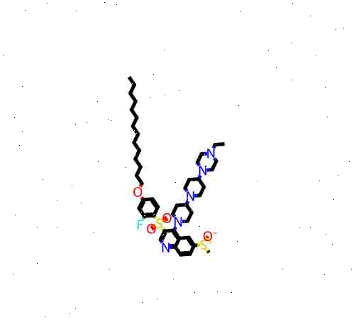 CCCCCCCCCCCCCCOc1ccc(S(=O)(=O)c2cnc3ccc([S+](C)[O-])cc3c2N2CCC(N3CCC(N4CCN(CC)CC4)CC3)CC2)c(F)c1